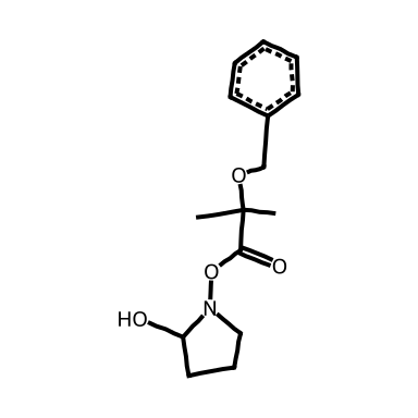 CC(C)(OCc1ccccc1)C(=O)ON1CCCC1O